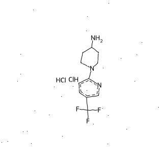 Cl.Cl.NC1CCN(c2ccc(C(F)(F)F)cn2)CC1